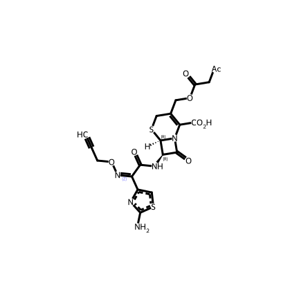 C#CCO/N=C(\C(=O)N[C@@H]1C(=O)N2C(C(=O)O)=C(COC(=O)CC(C)=O)CS[C@H]12)c1csc(N)n1